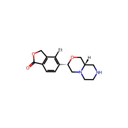 CCc1c([C@H]2CN3CCNC[C@H]3CO2)ccc2c1COC2=O